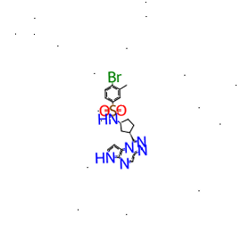 Cc1cc(S(=O)(=O)N[C@H]2CC[C@@H](c3nnc4cnc5[nH]ccc5n34)C2)ccc1Br